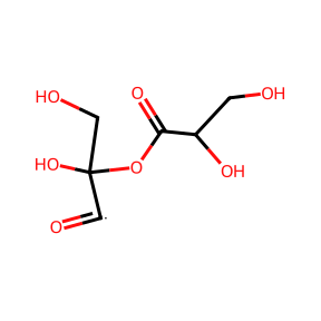 O=[C]C(O)(CO)OC(=O)C(O)CO